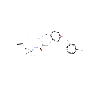 C=C[C@@H]1C[C@]1(NC(=O)C1Cc2cc(Oc3cccc(Cl)c3)ccc2CN1C(=O)O)C(=O)OCC